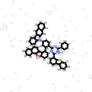 c1ccc(C2N=C(c3ccc(-n4c5ccccc5c5cc6ccccc6cc54)cc3-c3cccc4oc5c6ccccc6ccc5c34)N=C(c3cccc4c3sc3ccccc34)N2)cc1